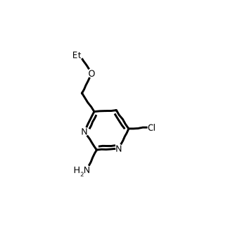 CCOCc1cc(Cl)nc(N)n1